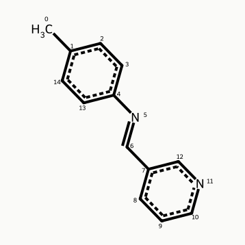 Cc1ccc(N=Cc2cccnc2)cc1